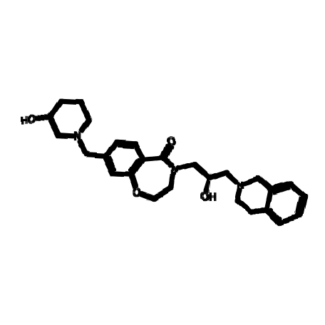 O=C1c2ccc(CN3CCCC(O)C3)cc2OCCN1C[C@H](O)CN1CCc2ccccc2C1